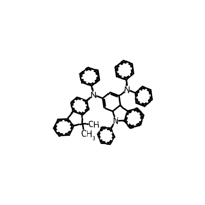 CC1(C)c2ccccc2-c2ccc(N(C3=CC4C(C(N(c5ccccc5)c5ccccc5)=C3)c3ccccc3N4c3ccccc3)c3ccccc3)cc21